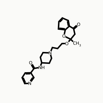 CC1(OCCCN2CCC(NC(=O)c3cccnc3)CC2)CC(=O)c2ccccc2O1